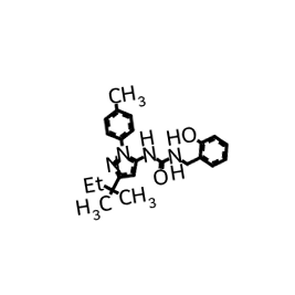 CCC(C)(C)c1cc(NC(=O)NCc2ccccc2O)n(-c2ccc(C)cc2)n1